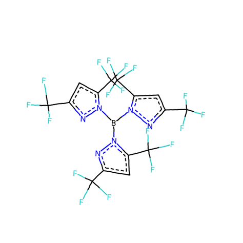 FC(F)(F)c1cc(C(F)(F)F)n(B(n2nc(C(F)(F)F)cc2C(F)(F)F)n2nc(C(F)(F)F)cc2C(F)(F)F)n1